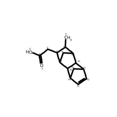 CC1C(CC(=O)O)C2CC1C1C3C=CC(C3)C21